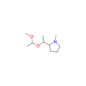 COC(C)OC(C)C1CCCN1C